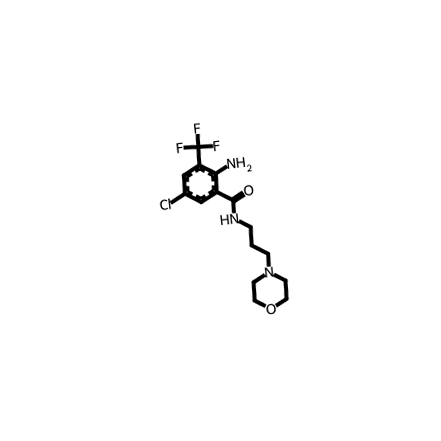 Nc1c(C(=O)NCCCN2CCOCC2)cc(Cl)cc1C(F)(F)F